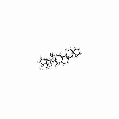 C[C@]12CC=C3C4=C(CCC3C1CC[C@]2(O)C1(CO)CCCO1)CC1(CC4)OCCO1